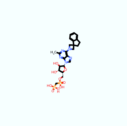 Cc1nc(N2CC3(CCc4ccccc43)C2)c2ncn([C@@H]3O[C@H](COP(=O)(O)CP(=O)(O)O)[C@H](O)C3O)c2n1